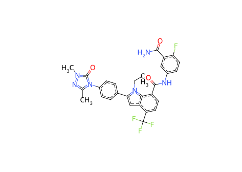 CCn1c(-c2ccc(-n3c(C)nn(C)c3=O)cc2)cc2c(C(F)(F)F)ccc(C(=O)Nc3ccc(F)c(C(N)=O)c3)c21